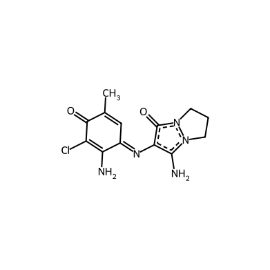 CC1=CC(=Nc2c(N)n3n(c2=O)CCC3)C(N)=C(Cl)C1=O